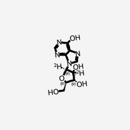 [2H][C@@]1(n2cnc3c(O)ncnc32)O[C@H](CO)[C@@H](O)[C@@]1([2H])O